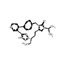 CCCCCc1cn(C(C)C)c(=O)n1Cc1ccc(-c2ccncc2-c2nnn[nH]2)cc1